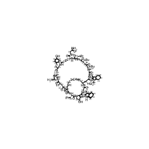 CCCC[C@H]1C(=O)N(C)[C@@H](CCCC)C(=O)N[C@@H](CC(C)C)C(=O)N[C@H](C(=O)NCC(N)=O)CSCC(=O)N[C@@H](Cc2ccc(O)cc2)C(=O)N(C)[C@@H](C)C(=O)N[C@@H](CC(N)=O)C(=O)N(CC)[C@@H](C)C(=O)N[C@H]2CNCCCCNCC[C@H](NC(=O)[C@H](Cc3c[nH]c4ccccc34)NC(=O)[C@@H]3C[C@@H](O)CN3C(=O)[C@H](CC(C)C)NC2=O)C(=O)N[C@@H](Cc2cn(CC(=O)O)c3ccccc23)C(=O)N1C